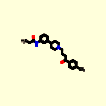 CCC(=O)Nc1cccc(C2CCN(CCCC(=O)c3ccc(C)cc3)CC2)c1